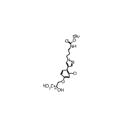 CC(C)(C)OC(=O)NCCCn1cc(-c2ccc(OC[C@@H](O)C(=O)O)cc2Cl)cn1